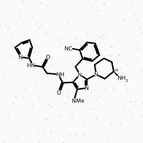 CNc1nc(N2CCC[C@@H](N)C2)n(Cc2ccccc2C#N)c1C(=O)NCC(=O)Nc1ccccn1